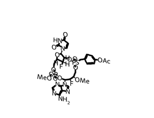 COOP1(=O)OC[C@H]2O[C@@H](n3ccc(=O)[nH]c3=O)[C@H](OP(=O)(SCc3ccc(OC(C)=O)cc3)OC[C@@H](OC)[C@@H](F)[C@@H](n3cnc4c(N)ncnc43)O1)[C@@H]2F